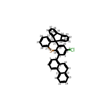 Clc1cc(-c2cccc3c2ccc2ccccc23)c2c(c1)C1(c3ccccc3S2)c2ccccc2-c2ccccc21